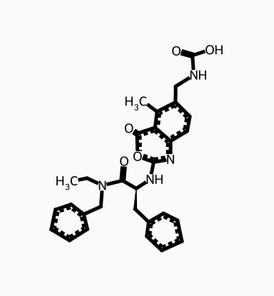 CCN(Cc1ccccc1)C(=O)[C@H](Cc1ccccc1)Nc1nc2ccc(CNC(=O)O)c(C)c2c(=O)o1